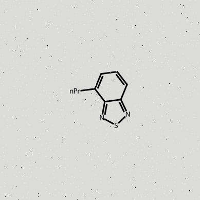 CCCc1cccc2nsnc12